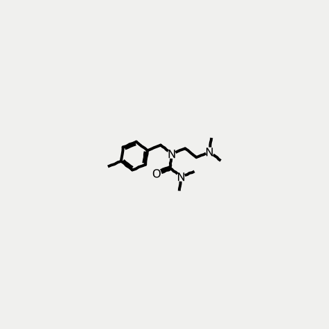 Cc1ccc(CN(CCN(C)C)C(=O)N(C)C)cc1